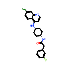 O=C(Cc1cccc(F)c1)N[C@H]1CC[C@@H](Nc2ccnc3cc(Cl)ccc23)CC1